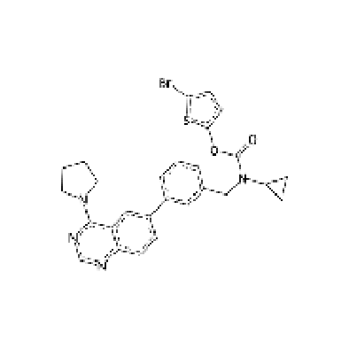 O=C(Oc1ccc(Br)s1)N(Cc1cccc(-c2ccc3ncnc(N4CCCC4)c3c2)c1)C1CC1